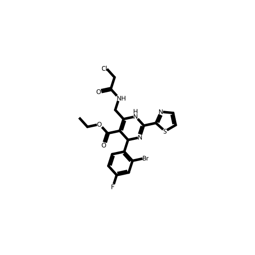 CCOC(=O)C1=C(CNC(=O)CCl)NC(c2nccs2)=NC1c1ccc(F)cc1Br